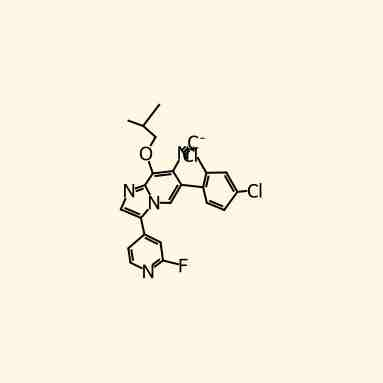 [C-]#[N+]c1c(-c2ccc(Cl)cc2Cl)cn2c(-c3ccnc(F)c3)cnc2c1OCC(C)C